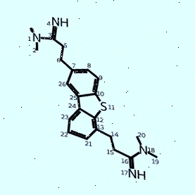 CN(C)C(=N)CCc1ccc2sc3c(CCC(=N)N(C)C)cccc3c2c1